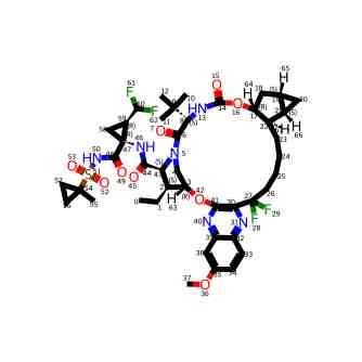 CC[C@@H]1[C@@H]2CN(C(=O)[C@H](C(C)(C)C)NC(=O)O[C@@H]3C[C@@H]4C[C@@H]4[C@H]3CCCCC(F)(F)c3nc4ccc(OC)cc4nc3O2)[C@@H]1C(=O)N[C@]1(C(=O)NS(=O)(=O)C2(C)CC2)C[C@H]1C(F)F